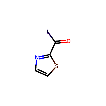 O=C(I)c1nccs1